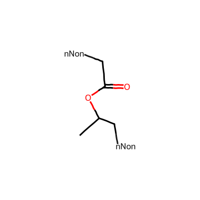 CCCCCCCCCCC(=O)OC(C)CCCCCCCCCC